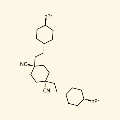 CCC[C@H]1CC[C@H](CC[C@]2(C#N)CC[C@@](C#N)(CC[C@H]3CC[C@H](CCC)CC3)CC2)CC1